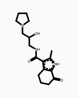 Cc1[nH]c2c(c1C(=O)NCC(O)CN1CCCC1)CCCC2=O